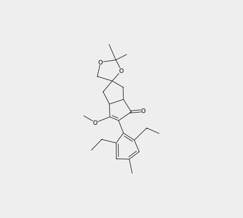 CCc1cc(C)cc(CC)c1C1=C(OC)C2CC3(COC(C)(C)O3)CC2C1=O